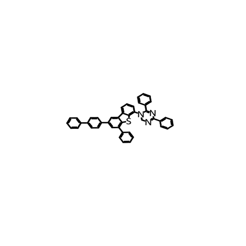 c1ccc(C2=NCN(c3cccc4c3sc3c(-c5ccccc5)cc(-c5ccc(-c6ccccc6)cc5)cc34)C(c3ccccc3)=N2)cc1